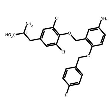 Nc1ccc(OCc2ccc(F)cc2)c(COc2c(Cl)cc(C[C@H](N)C(=O)O)cc2Cl)c1